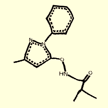 Cc1cc(ONC(=O)C(C)C)n(-c2ccccc2)n1